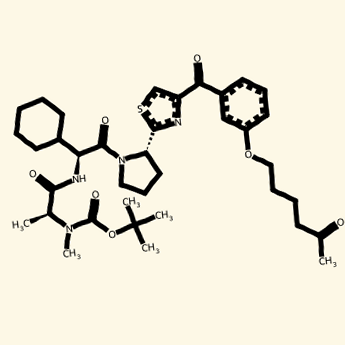 CC(=O)CCCCOc1cccc(C(=O)c2csc([C@@H]3CCCN3C(=O)[C@@H](NC(=O)[C@H](C)N(C)C(=O)OC(C)(C)C)C3CCCCC3)n2)c1